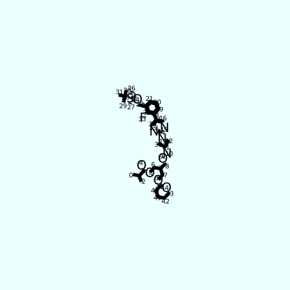 CC(C)C(=O)OCC(CON=C1CN(c2ncc(-c3cccc(CO[Si](C)(C)C(C)(C)C)c3F)cn2)C1)COC1CCCCO1